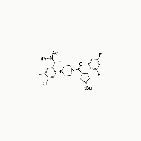 CC(=O)N(C(C)C)[C@H](C)c1cc(C)c(Cl)cc1N1CCN(C(=O)[C@@H]2CN(C(C)(C)C)C[C@H]2c2ccc(F)cc2F)CC1